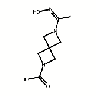 O=C(O)N1CC2(C1)CN(/C(Cl)=N\O)C2